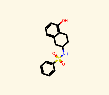 O=S(=O)(NC1CCc2c(O)cccc2C1)c1ccccc1